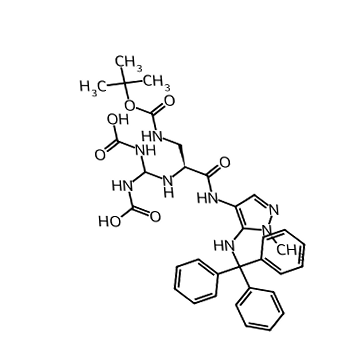 Cn1ncc(NC(=O)[C@H](CNC(=O)OC(C)(C)C)NC(NC(=O)O)NC(=O)O)c1NC(c1ccccc1)(c1ccccc1)c1ccccc1